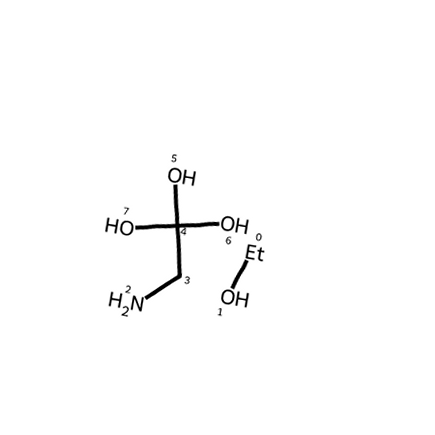 CCO.NCC(O)(O)O